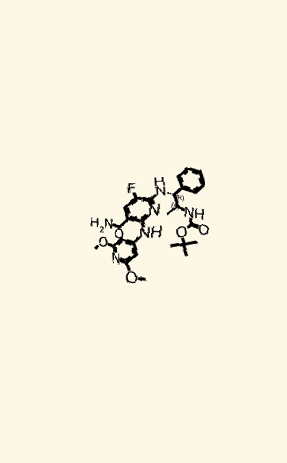 COc1cc(Nc2nc(N[C@H](c3ccccc3)[C@H](C)NC(=O)OC(C)(C)C)c(F)cc2C(N)=O)cc(OC)n1